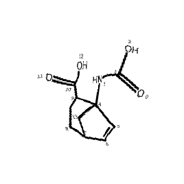 O=C(O)NC12C=CC(CC1C(=O)O)C2